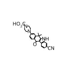 CC1(C)c2cc(N3CCN(C(=O)O)CC3)ccc2C(=O)c2c1[nH]c1cc(C#N)ccc21